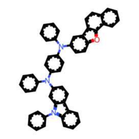 c1ccc(N(c2ccc(N(c3ccccc3)c3ccc4c5ccccc5n(-c5ccccc5)c4c3)cc2)c2ccc3oc4c5ccccc5ccc4c3c2)cc1